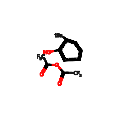 CC(C)(C)c1ccccc1O.O=C(OC(=O)C(F)(F)F)C(F)(F)F